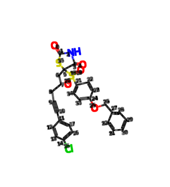 O=C1NC(=O)C(CCCC#Cc2ccc(Cl)cc2)(S(=O)(=O)c2ccc(OCc3ccccc3)cc2)S1